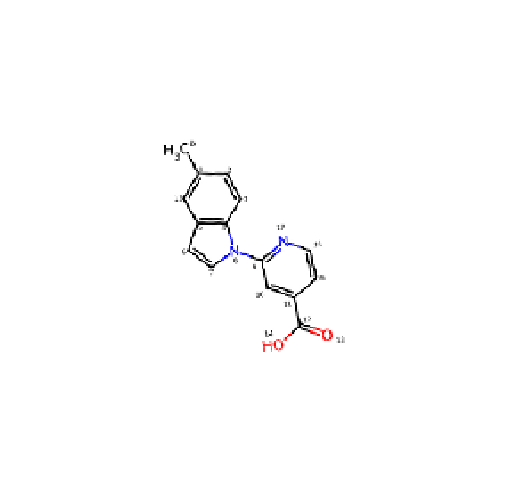 Cc1ccc2c(ccn2-c2cc(C(=O)O)ccn2)c1